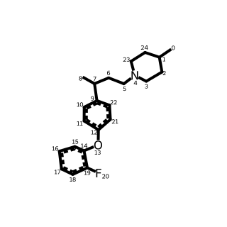 CC1CCN(CCC(C)c2ccc(Oc3ccccc3F)cc2)CC1